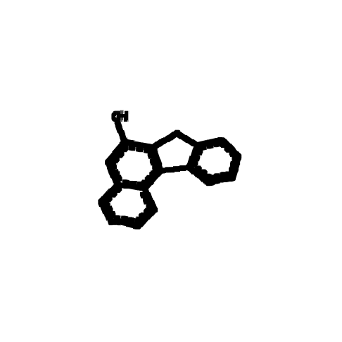 Oc1cc2ccccc2c2c1Cc1ccccc1-2